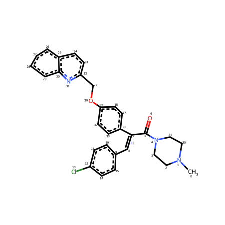 CN1CCN(C(=O)/C(=C/c2ccc(Cl)cc2)c2ccc(OCc3ccc4ccccc4n3)cc2)CC1